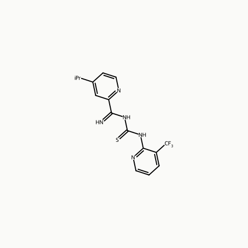 CC(C)c1ccnc(C(=N)NC(=S)Nc2ncccc2C(F)(F)F)c1